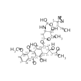 C#CCC1(COC(O)NC2CC(O[C@H]3C[C@](O)(CC(C)=O)Cc4c(O)c5c(c(O)c43)C(=O)c3c(OC)cccc3C5=O)OC(C)C2O)N=N1